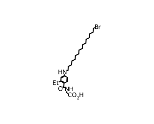 CCc1cc(NCCCCCCCCCCCCCCCCBr)ccc1C(=O)NCC(=O)O